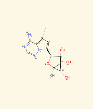 N#C[C@]12O[C@@H](c3cc(F)c4c(N)ncnn34)[C@H](O)[C@@]1(O)[C@@H]2O